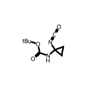 CC(C)(C)OC(=O)NC1(N=C=O)CC1